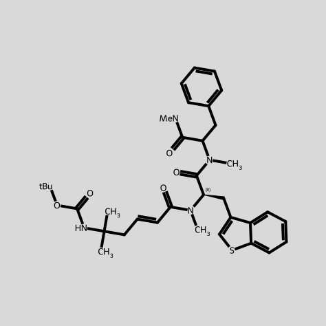 CNC(=O)C(Cc1ccccc1)N(C)C(=O)[C@@H](Cc1csc2ccccc12)N(C)C(=O)C=CCC(C)(C)NC(=O)OC(C)(C)C